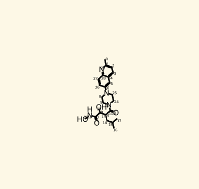 Cc1ccc2cc(N3CCN(C(=O)[C@@H](CC(C)C)[C@H](O)C(=O)NO)CC3)ccc2n1